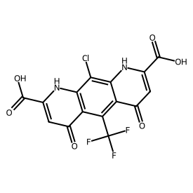 O=C(O)c1cc(=O)c2c(C(F)(F)F)c3c(=O)cc(C(=O)O)[nH]c3c(Cl)c2[nH]1